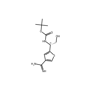 CC(C)(C)OC(=O)N[C@H](CO)c1cc(C(=N)N)cs1